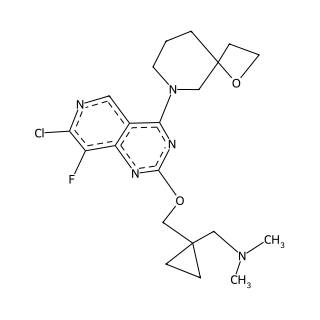 CN(C)CC1(COc2nc(N3CCCC4(CCO4)C3)c3cnc(Cl)c(F)c3n2)CC1